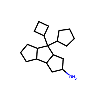 NC1CC2C3CCCC3C(C3CCCC3)(C3CCC3)C2C1